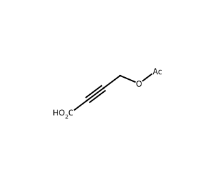 CC(=O)OCC#CC(=O)O